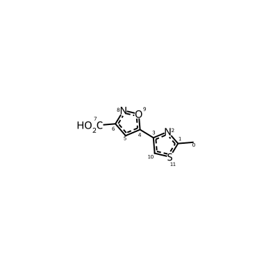 Cc1nc(-c2cc(C(=O)O)no2)cs1